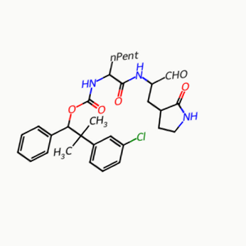 CCCCCC(NC(=O)OC(c1ccccc1)C(C)(C)c1cccc(Cl)c1)C(=O)NC(C=O)CC1CCNC1=O